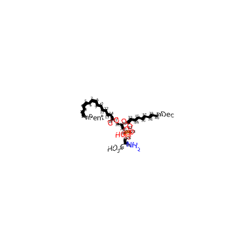 CCCCC/C=C\C/C=C\C/C=C\CCCCCCC(=O)OC[C@H](COP(=O)(O)OC[C@H](N)C(=O)O)OC(=O)CCCCCCCCCCCCCCCCCC